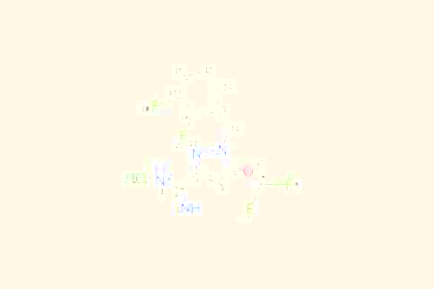 Cl.N=C(N)c1cc(OC(F)F)n(Cc2cccc(F)c2F)n1